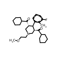 COCCN1C[C@H](C(=O)C2CCCCC2)C(c2cccc(F)c2C)[C@@H](C(=O)C2CCCCC2)C1